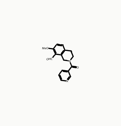 COc1ccc2c(c1C=O)CN(C(=O)c1cccnc1)CC2